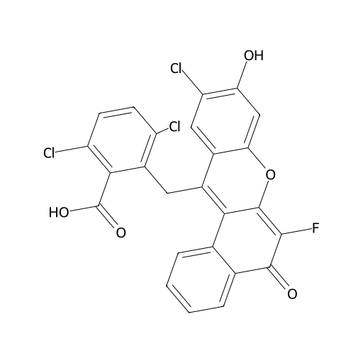 O=C(O)c1c(Cl)ccc(Cl)c1Cc1c2c3ccccc3c(=O)c(F)c-2oc2cc(O)c(Cl)cc12